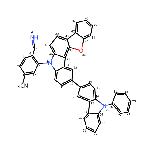 N#Cc1ccc(C=N)c(-n2c3ccc(-c4ccc5c(c4)c4ccccc4n5-c4ccccc4)cc3c3c4oc5ccccc5c4ccc32)c1